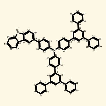 c1ccc(-c2cc(-c3ccccc3)cc(-c3ccc(N(c4ccc(-c5cc(-c6ccccc6)cc(-c6ccccc6)c5)cc4)c4ccc(-c5ccc6sc7ccccc7c6c5)cc4)cc3)c2)cc1